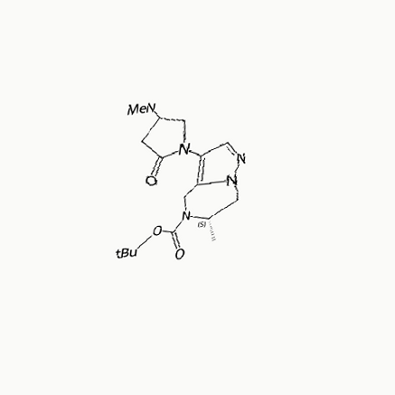 CNC1CC(=O)N(c2cnn3c2CN(C(=O)OC(C)(C)C)[C@@H](C)C3)C1